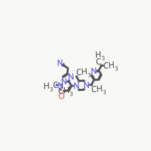 CCC1CN(C(C)c2ccc(C(C)C)nc2)CCN1/C(=C/C=O)c1nc(CC#N)cn1N(C)C